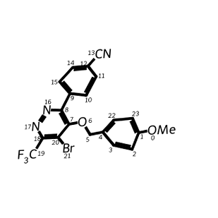 COc1ccc(COc2c(-c3ccc(C#N)cc3)nnc(C(F)(F)F)c2Br)cc1